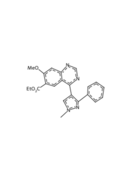 CCOC(=O)c1cc2c(-c3cn(C)nc3-c3ccccc3)ncnc2cc1OC